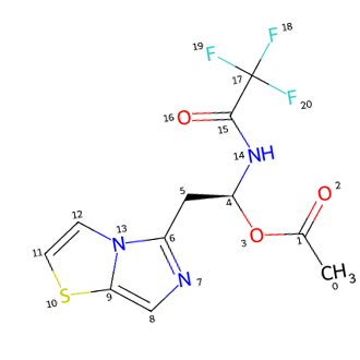 CC(=O)O[C@@H](Cc1ncc2sccn12)NC(=O)C(F)(F)F